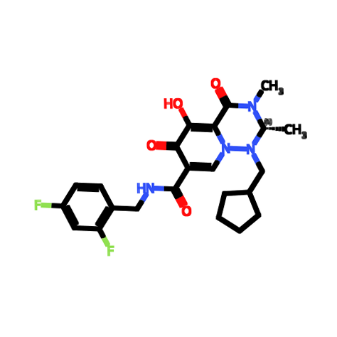 C[C@H]1N(C)C(=O)c2c(O)c(=O)c(C(=O)NCc3ccc(F)cc3F)cn2N1CC1CCCC1